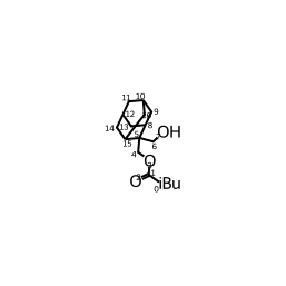 CCC(C)C(=O)OCC1(CO)C2CC3CC(C2)CC1C3